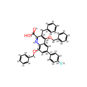 O=C(O)c1nc2c(OCc3ccccc3)cc(-c3ccc(F)cc3)cc2c(OCc2ccccc2)c1Cc1ccccc1